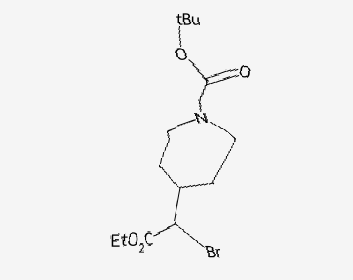 CCOC(=O)C(Br)C1CCN(C(=O)OC(C)(C)C)CC1